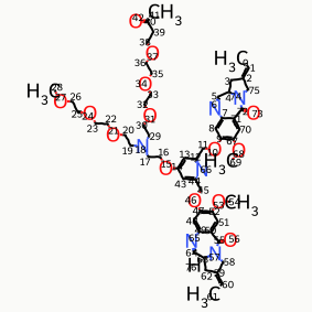 C/C=C1\CC2C=Nc3cc(OCc4cc(OCCN(CCOCCOCCOC)CCOCCOCCOCCC(C)=O)cc(COc5cc6c(cc5OC)C(=O)N5C/C(=C/C)C[C@H]5C=N6)n4)c(OC)cc3C(=O)N2C1